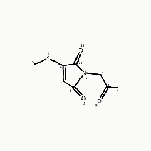 CSC1=CC(=O)N(CC(C)=O)C1=O